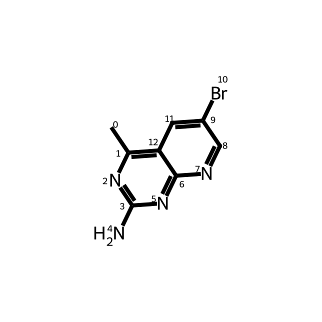 Cc1nc(N)nc2ncc(Br)cc12